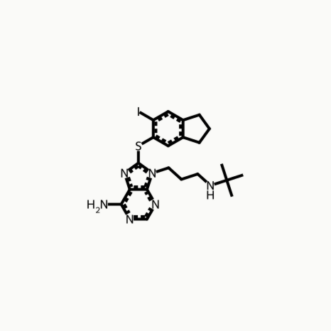 CC(C)(C)NCCCn1c(Sc2cc3c(cc2I)CCC3)nc2c(N)ncnc21